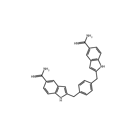 N=C(N)c1ccc2[nH]c(Cc3ccc(Cc4cc5cc(C(=N)N)ccc5[nH]4)cc3)cc2c1